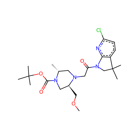 COC[C@H]1CN(C(=O)OC(C)(C)C)[C@H](C)CN1CC(=O)N1CC(C)(C)c2ccc(Cl)nc21